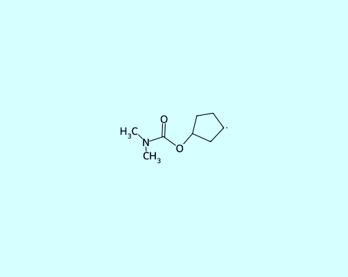 CN(C)C(=O)OC1C[CH]CC1